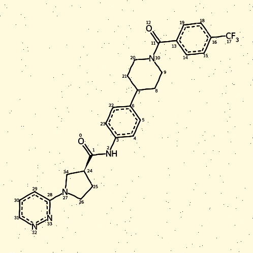 O=C(Nc1ccc(C2CCN(C(=O)c3ccc(C(F)(F)F)cc3)CC2)cc1)[C@H]1CCN(c2cccnn2)C1